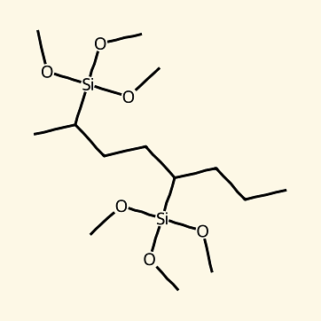 CCCC(CCC(C)[Si](OC)(OC)OC)[Si](OC)(OC)OC